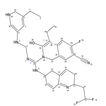 CCC1=CC(NC/N=C(/NC2C=CC3=NC(CC(F)F)CC=C3C2)N(Cc2ccc(F)c(C#N)c2)/C(O)=C(\C)CC)=CNC1